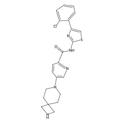 O=C(Nc1nc(-c2ccccc2Cl)cs1)c1ccc(N2CCC3(CC2)CNC3)cn1